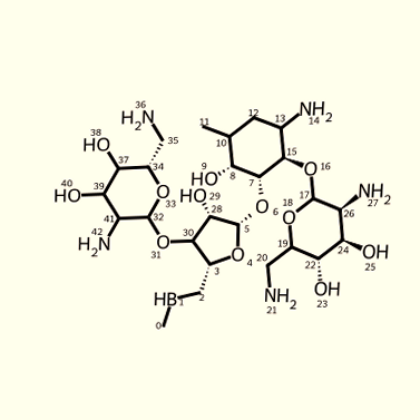 CBC[C@H]1O[C@@H](O[C@@H]2[C@H](O)C(C)CC(N)[C@H]2OC2OC(CN)[C@@H](O)[C@H](O)[C@@H]2N)[C@@H](O)C1OC1O[C@@H](CN)C(O)C(O)C1N